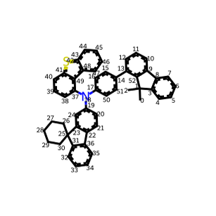 CC1(C)c2ccccc2-c2cccc(-c3ccc(N(c4ccc5c(c4)C4(CCCCC4)c4ccccc4-5)c4cccc5sc6ccccc6c45)cc3)c21